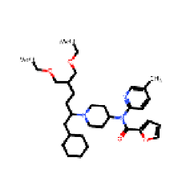 COCOCC(CCC(CC1CCCCC1)N1CCC(N(C(=O)c2ccco2)c2ccc(C)cn2)CC1)COCOC